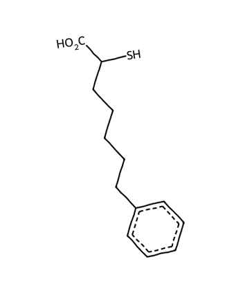 O=C(O)C(S)CCCCCc1ccccc1